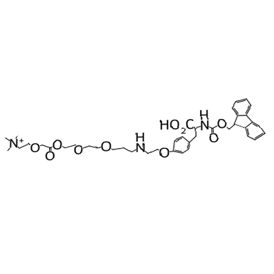 C[N+](C)(C)CCOCC(=O)OCCOCCOCCCNCCOc1ccc(CC(NC(=O)OCC2c3ccccc3-c3ccccc32)C(=O)O)cc1